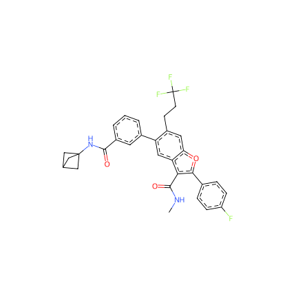 CNC(=O)c1c(-c2ccc(F)cc2)oc2cc(CCC(F)(F)F)c(-c3cccc(C(=O)NC45CC(C4)C5)c3)cc12